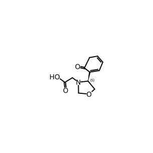 O=C(O)CN1COC[C@@H]1C1=CC=CCC1=O